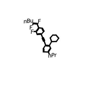 CCCC/C(F)=C(\F)c1ccc(C#Cc2ccc(CCC)cc2C2CCCCC2)cc1F